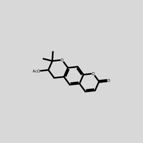 CC(=O)OC1Cc2cc3ccc(=O)oc3cc2OC1(C)C